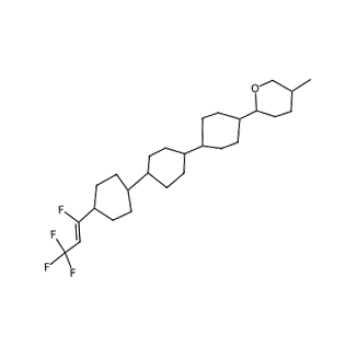 CC1CCC(C2CCC(C3CCC(C4CCC(/C(F)=C/C(F)(F)F)CC4)CC3)CC2)OC1